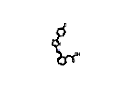 O=C(O)Cc1ccccc1/C=C/c1csc(-c2ccc(Cl)cc2)n1